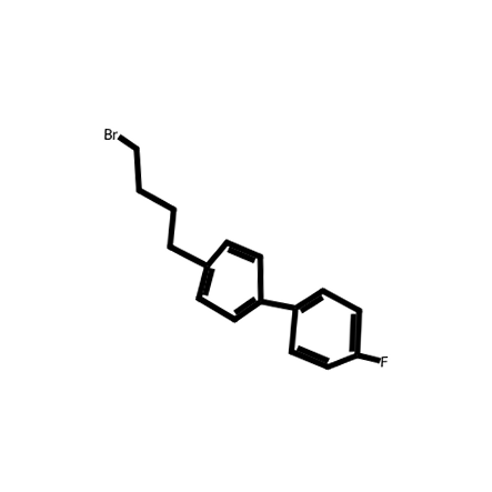 Fc1ccc(-c2ccc(CCCCBr)cc2)cc1